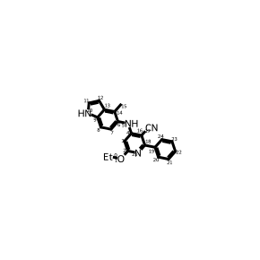 CCOc1cc(Nc2ccc3[nH]ccc3c2C)c(C#N)c(-c2ccccc2)n1